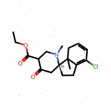 CCOC(=O)C1CN(C)[C@@]2(CCC3=C(Cl)C=CCC32C)CC1=O